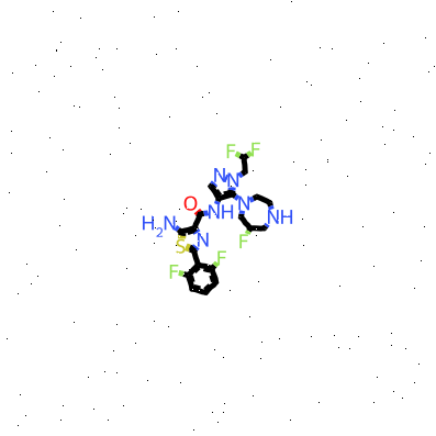 Nc1sc(-c2c(F)cccc2F)nc1C(=O)Nc1cnn(CC(F)F)c1N1CCNCC(F)C1